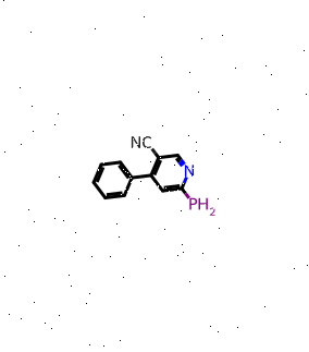 N#Cc1cnc(P)cc1-c1ccccc1